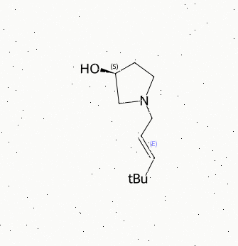 CC(C)(C)/C=C/CN1CC[C@H](O)C1